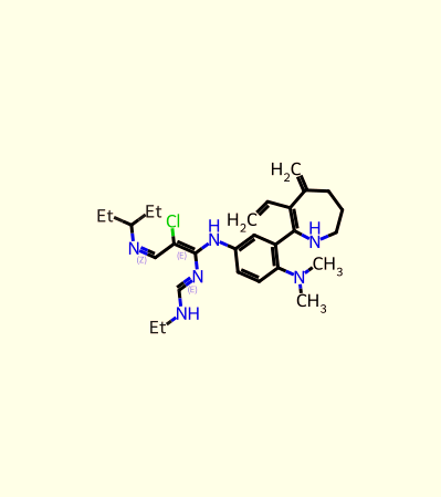 C=CC1=C(c2cc(NC(/N=C/NCC)=C(Cl)/C=N\C(CC)CC)ccc2N(C)C)NCCCC1=C